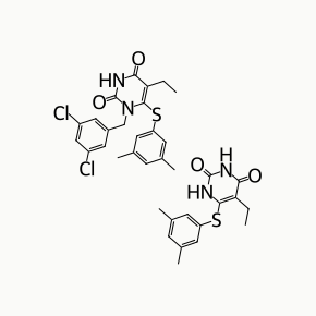 CCc1c(Sc2cc(C)cc(C)c2)[nH]c(=O)[nH]c1=O.CCc1c(Sc2cc(C)cc(C)c2)n(Cc2cc(Cl)cc(Cl)c2)c(=O)[nH]c1=O